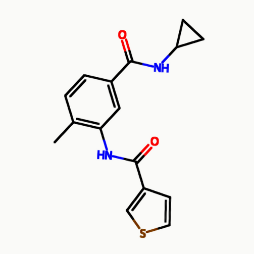 Cc1ccc(C(=O)NC2CC2)cc1NC(=O)c1ccsc1